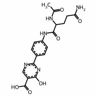 CC(=O)NC(CCC(N)=O)C(=O)Nc1ccc(-c2ncc(C(=O)O)c(O)n2)cc1